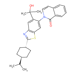 CC(C)[C@H]1CC[C@H](c2nc3cc(C(C)(C)O)c(-n4ccc5ccccc5c4=O)cc3s2)CC1